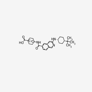 CC(C)(C)[C@H]1CC[C@H](Nc2cc3cc(C(=O)NC45CCC(C(=O)O)(CC4)CC5)ccc3cn2)CC1